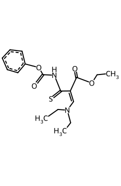 CCOC(=O)/C(=C/N(CC)CC)C(=S)NC(=O)Oc1ccccc1